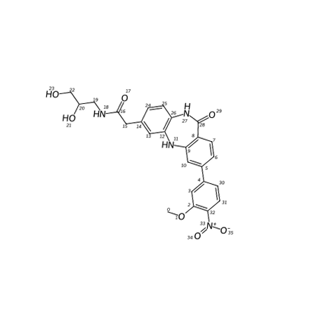 COc1cc(-c2ccc3c(c2)Nc2cc(CC(=O)NCC(O)CO)ccc2NC3=O)ccc1[N+](=O)[O-]